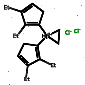 CCC1=CC[C]([Hf+2]2([C]3=C(CC)C(CC)=CC3)[CH2][CH2]2)=C1CC.[Cl-].[Cl-]